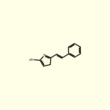 CCCC1=CCC(C=Cc2ccccc2)=N1